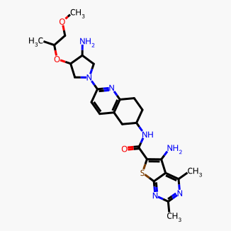 COCC(C)OC1CN(c2ccc3c(n2)CCC(NC(=O)c2sc4nc(C)nc(C)c4c2N)C3)CC1N